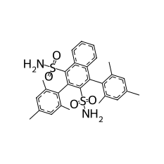 Cc1cc(C)c(-c2c(S(N)(=O)=O)c(-c3c(C)cc(C)cc3C)c3ccccc3c2S(N)(=O)=O)c(C)c1